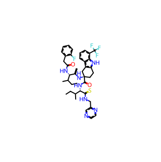 C=C(N[C@]1(C(=O)N[C@H](C(=S)NCc2cnccn2)C(C)CC)CCc2[nH]c3c(C(F)(F)F)cccc3c2C1)[C@@H](NC(=O)Cc1ccccc1F)C(C)CC